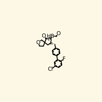 O=CBN1C(=O)C2(CCOC2)C[C@H]1Cc1ccc(-c2cc(Cl)ccc2F)cc1